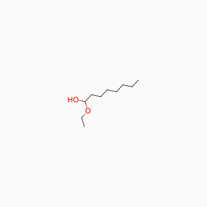 CCCCCCCC(O)OCC